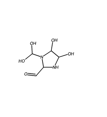 O=CC1NC(O)C(O)N1C(O)O